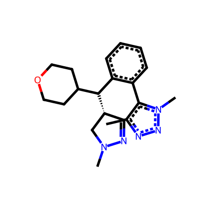 Cc1nnn(C)c1-c1ccccc1C(C1CCOCC1)[C@@H]1C=NN(C)C1